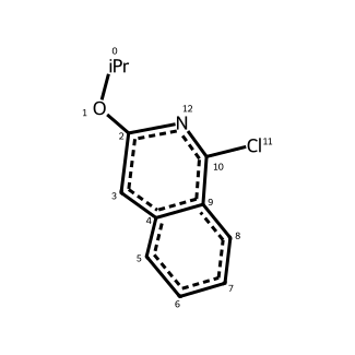 CC(C)Oc1cc2ccccc2c(Cl)n1